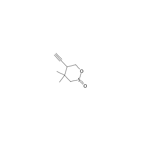 C#CC1COS(=O)CC1(C)C